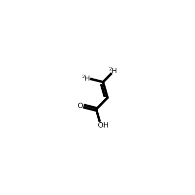 [2H]C([2H])=CC(=O)O